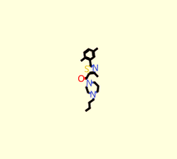 CCCCN1CCCN(C(=O)c2sc(-c3cc(C)ccc3C)nc2C)CC1